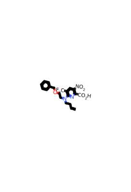 C=CCCN(CCOCc1ccccc1)c1nc(C(=O)O)c([N+](=O)[O-])cc1C(F)(F)F